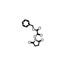 O=C(OCc1ccccc1)C(=O)ON1C(=O)CCC1=O